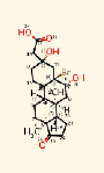 C[C@]12CC[C@H]3[C@@H](C[C@@H](O)[C@@]4(Br)C[C@](O)(CC(=O)O)CC[C@]34C)[C@@H]1CCC2=O